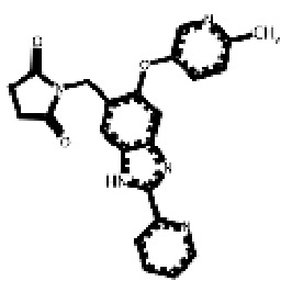 Cc1ccc(Oc2cc3nc(-c4ccccn4)[nH]c3cc2CN2C(=O)CCC2=O)cn1